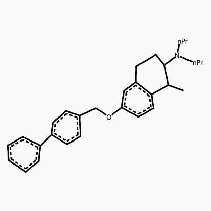 CCCN(CCC)C1CCc2cc(OCc3ccc(-c4ccccc4)cc3)ccc2C1C